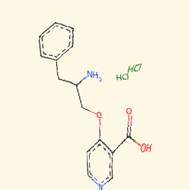 Cl.Cl.NC(COc1ccncc1C(=O)O)Cc1ccccc1